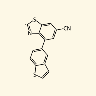 N#Cc1cc(-c2ccc3sccc3c2)c2n[c]sc2c1